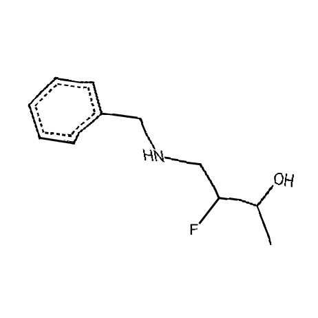 CC(O)C(F)CNCc1ccccc1